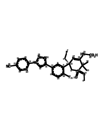 CN=S1(=O)C[C@@](CF)(c2cc(-c3cn(-c4ccc(C#N)cn4)nn3)ccc2F)N=C(NC(=O)O)C1(C)C